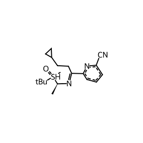 C[C@H](/N=C(\CCC1CC1)c1cccc(C#N)n1)[SH](C)(=O)C(C)(C)C